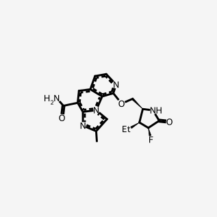 CC[C@@H]1[C@H](F)C(=O)N[C@@H]1COc1nccc2cc(C(N)=O)c3nc(C)cn3c12